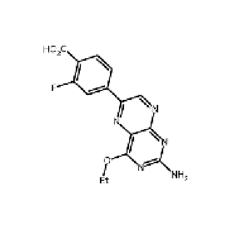 CCOc1nc(N)nc2ncc(-c3ccc(C(=O)O)c(F)c3)nc12